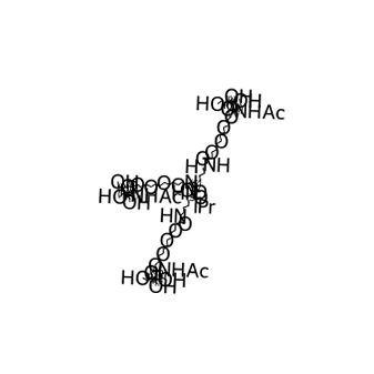 CC(=O)N[C@H]1[C@H](OCCOCCOCCOCC(=O)NCCCC[C@H](NC(=O)COCCOCCOCCO[C@@H]2O[C@H](CO)[C@H](O)[C@H](O)[C@H]2NC(C)=O)C(=O)N[C@@H](CCCCNC(=O)COCCOCCOCCO[C@@H]2O[C@H](CO)[C@H](O)[C@H](O)[C@H]2NC(C)=O)C(=O)C(C)C)O[C@H](CO)[C@H](O)[C@@H]1O